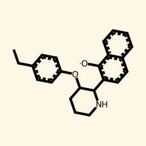 CCc1ccc(OC2CCCNC2c2ccc3ccccc3c2[O])cc1